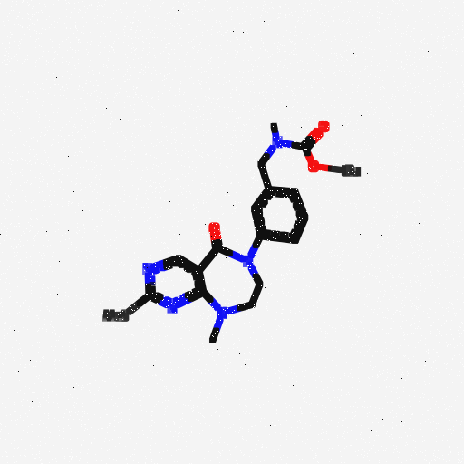 CSc1ncc2c(n1)N(C)CCN(c1cccc(CN(C)C(=O)OC(C)(C)C)c1)C2=O